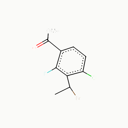 COC(=O)c1ccc(Cl)c(C(C)Br)c1F